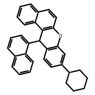 c1ccc2c(C3c4ccc(C5CCCCC5)cc4Oc4ccc5ccccc5c43)cccc2c1